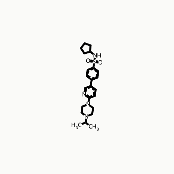 CC(C)N1CCN(c2ccc(-c3ccc(S(=O)(=O)NC4CCCC4)cc3)cn2)CC1